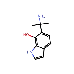 CC(C)(N)c1ccc2cc[nH]c2c1O